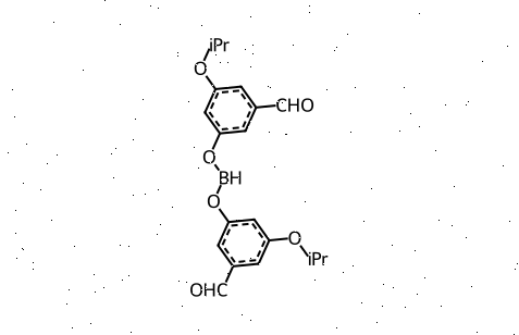 CC(C)Oc1cc(C=O)cc(OBOc2cc(C=O)cc(OC(C)C)c2)c1